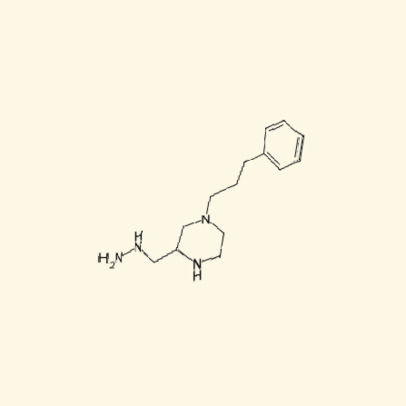 NNCC1CN(CCCc2ccccc2)CCN1